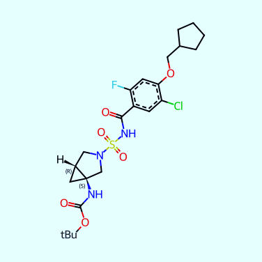 CC(C)(C)OC(=O)N[C@@]12C[C@@H]1CN(S(=O)(=O)NC(=O)c1cc(Cl)c(OCC3CCCC3)cc1F)C2